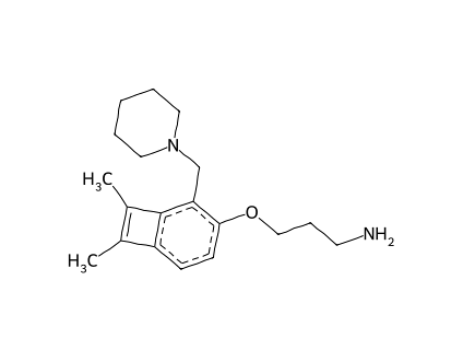 CC1=C(C)c2c1ccc(OCCCN)c2CN1CCCCC1